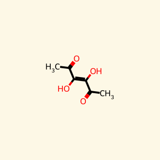 CC(=O)/C(O)=C(\O)C(C)=O